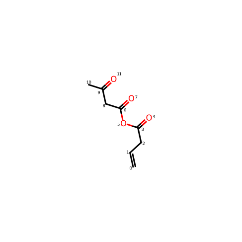 C=CCC(=O)OC(=O)CC(C)=O